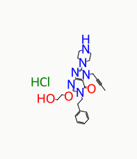 CC#CCn1c(N2CCNCC2)nc2nc(OCCO)n(CCc3ccccc3)c(=O)c21.Cl